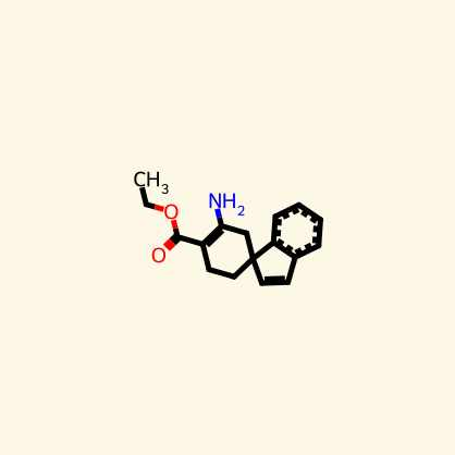 CCOC(=O)C1=C(N)CC2(C=Cc3ccccc32)CC1